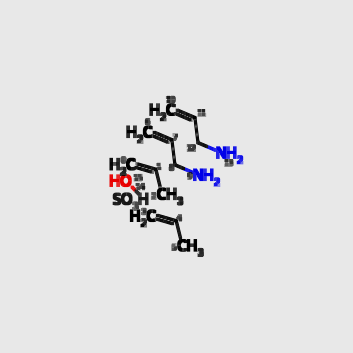 C=CC.C=CC.C=CCN.C=CCN.O=S(=O)(O)O